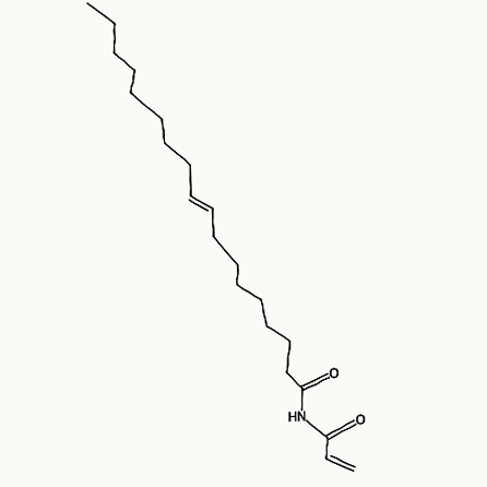 C=CC(=O)NC(=O)CCCCCCCC=CCCCCCCCC